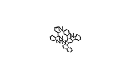 c1cncc(-c2nc(-n3c4ccc5ccccc5c4c4cc5c6ccccc6n6c7ccccc7c(c43)c56)nc3ccccc23)c1